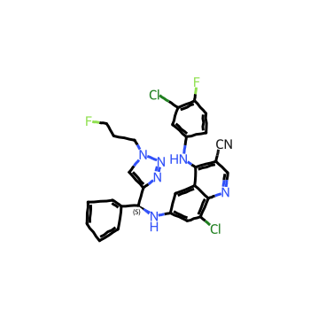 N#Cc1cnc2c(Cl)cc(N[C@@H](c3ccccc3)c3cn(CCCF)nn3)cc2c1Nc1ccc(F)c(Cl)c1